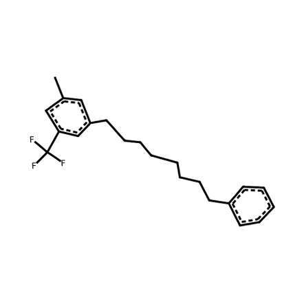 Cc1cc(CCCCCCCCc2ccccc2)cc(C(F)(F)F)c1